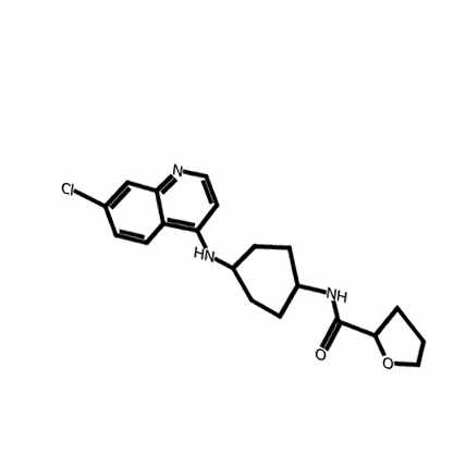 O=C(NC1CCC(Nc2ccnc3cc(Cl)ccc23)CC1)C1CCCO1